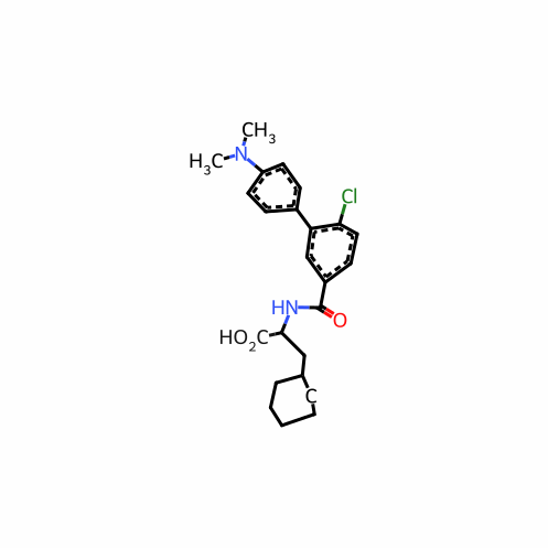 CN(C)c1ccc(-c2cc(C(=O)NC(CC3CCCCC3)C(=O)O)ccc2Cl)cc1